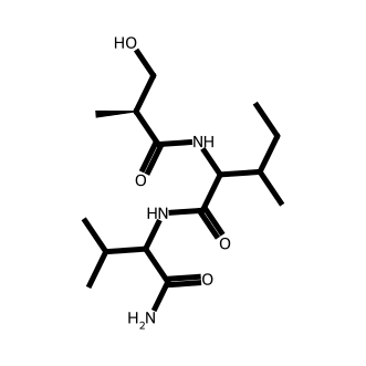 CCC(C)C(NC(=O)[C@@H](C)CO)C(=O)NC(C(N)=O)C(C)C